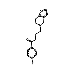 O=C(CCCN1CCc2sccc2C1)c1ccc(F)cc1